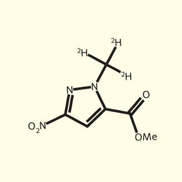 [2H]C([2H])([2H])n1nc([N+](=O)[O-])cc1C(=O)OC